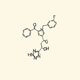 O=C(C=C(O)c1nn[nH]n1)c1cc(C(=O)c2ccccc2)n(Cc2cccc(F)c2)c1